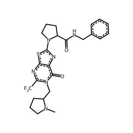 CN1CCCC1Cn1c(C(F)(F)F)nc2sc(N3CCCC3C(=O)NCc3ccccc3)nc2c1=O